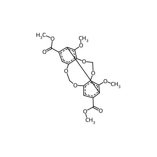 COC(=O)c1cc2c3c(OC)c1-c1c(C(=O)OC)cc(c(c1OC)OCO3)OCO2